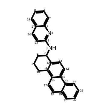 c1ccc2nc(NC3CCCc4c3ccc3c4ccc4ccccc43)ccc2c1